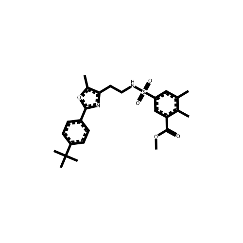 COC(=O)c1cc(S(=O)(=O)NCCc2nc(-c3ccc(C(C)(C)C)cc3)oc2C)cc(C)c1C